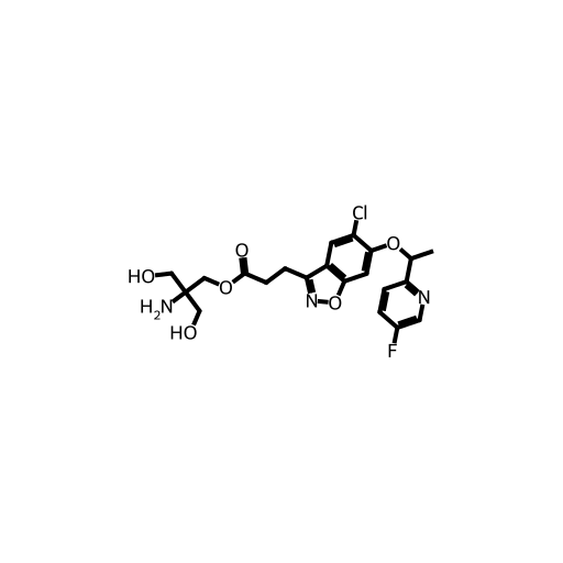 CC(Oc1cc2onc(CCC(=O)OCC(N)(CO)CO)c2cc1Cl)c1ccc(F)cn1